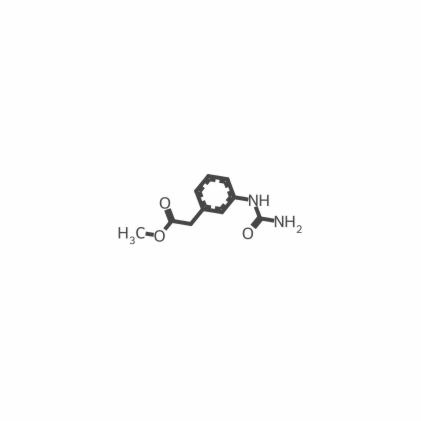 COC(=O)Cc1cccc(NC(N)=O)c1